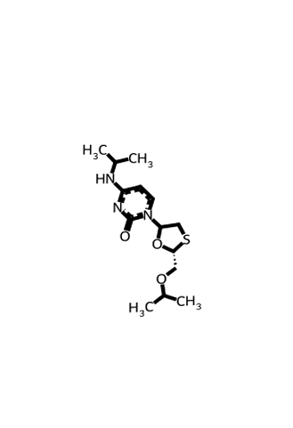 CC(C)Nc1ccn(C2CS[C@H](COC(C)C)O2)c(=O)n1